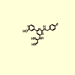 N=CC(=N)Nc1cc(-c2ccnc(O)c2)nc(NCc2ccc(F)cc2)n1